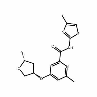 Cc1cc(O[C@H]2CO[C@H](C)C2)cc(C(=O)Nc2nc(C)cs2)n1